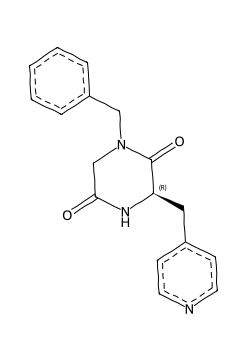 O=C1CN(Cc2ccccc2)C(=O)[C@@H](Cc2ccncc2)N1